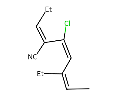 C\C=C(/C=C(Cl)\C(C#N)=C/CC)CC